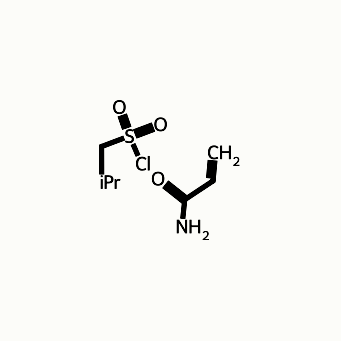 C=CC(N)=O.CC(C)CS(=O)(=O)Cl